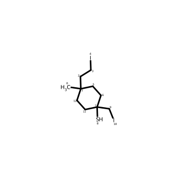 CC1(CCI)CCC(S)(CI)CC1